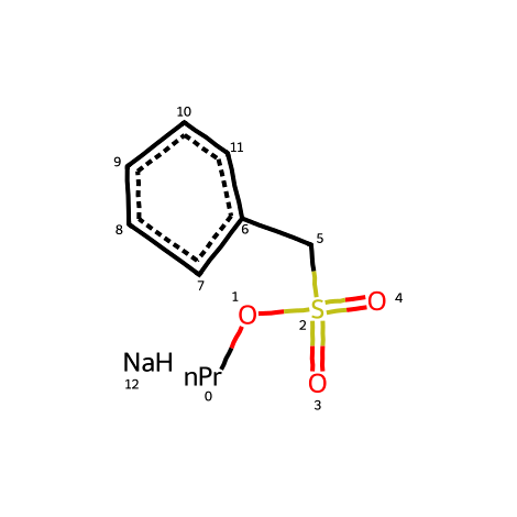 CCCOS(=O)(=O)Cc1ccccc1.[NaH]